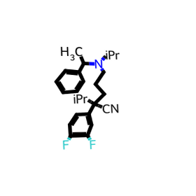 CC(C)N(CCCC(C#N)(c1ccc(F)c(F)c1)C(C)C)C(C)c1ccccc1